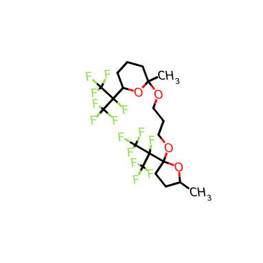 CC1CCC(OCCCOC2(C)CCCC(C(F)(C(F)(F)F)C(F)(F)F)O2)(C(F)(C(F)(F)F)C(F)(F)F)O1